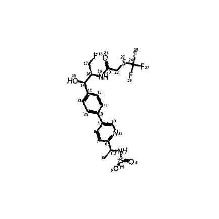 CC(N[SH](=O)=O)c1ccc(-c2ccc([C@@H](O)[C@@H](CF)NC(=O)CSC(F)(F)F)cc2)cn1